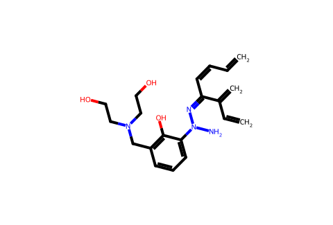 C=C/C=C\C(=N\N(N)c1cccc(CN(CCO)CCO)c1O)C(=C)C=C